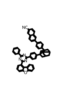 N#Cc1ccc2cc(-c3ccc(C45CC6CC(C4)CC(c4ccc(-c7nc(-c8ccccc8)nc(-c8cccc9oc%10ccccc%10c89)n7)cc4)(C6)C5)cc3)ccc2c1